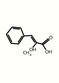 C.O=C(O)C(O)=Cc1ccccc1